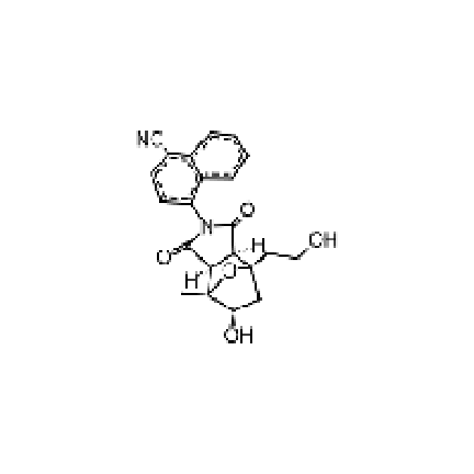 C[C@@]12O[C@@](CCO)(C[C@H]1O)[C@@H]1C(=O)N(c3ccc(C#N)c4ccccc34)C(=O)[C@@H]12